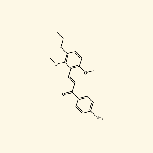 CCCc1ccc(OC)c(/C=C/C(=O)c2ccc(N)cc2)c1OC